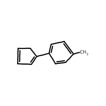 Cc1ccc(C2=CC=C[CH]2)cc1